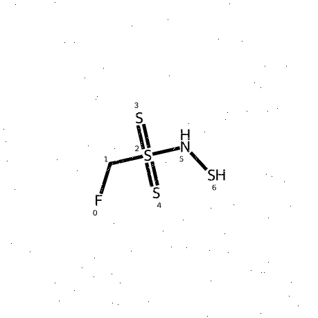 FCS(=S)(=S)NS